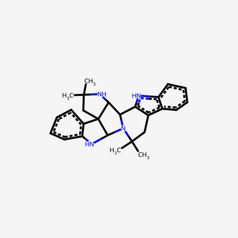 CC1(C)CC23c4ccccc4NC2N2C(c4[nH]c5ccccc5c4CC2(C)C)C3N1